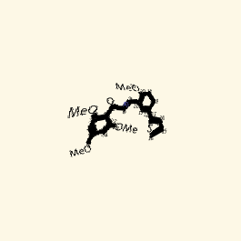 COc1cc(OC)c(C(=O)/C=C/c2cc(-c3cccs3)ccc2OC)c(OC)c1